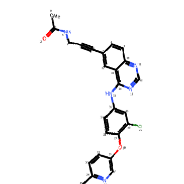 COC(=O)NCC#Cc1ccc2ncnc(Nc3ccc(Oc4ccc(C)nc4)c(Cl)c3)c2c1